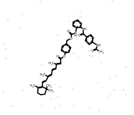 CC(=O)Nc1ccc(C(=O)Nc2ccccc2NC(=O)OCc2ccc(OC(=O)/C=C(C)/C=C/C=C(C)/C=C/C3=C(C)CCCC3(C)C)cc2)cc1